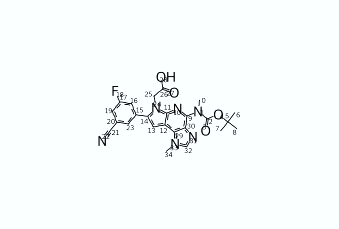 CN(C(=O)OC(C)(C)C)c1nc2c(cc(-c3cc(F)cc(C#N)c3)n2CC(=O)O)c2c1ncn2C